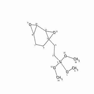 CO[Si](CCC12CCC3OC3C1O2)(OC)OC